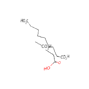 CC(=O)O.CCC(=O)O.O=C(O)CCCCCCCC(=O)O